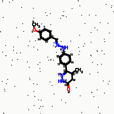 COc1ccc(/C=N/Nc2ccc(C3=NNC(=O)CC3C)cc2)cc1